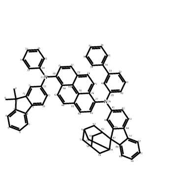 CC1(C)c2ccccc2-c2ccc(N(c3ccccc3)c3ccc4ccc5c(N(c6cccc(-c7ccccc7)c6)c6ccc7c(c6)C6(c8ccccc8-7)C7CC8CC(C7)CC6C8)ccc6ccc3c4c65)cc21